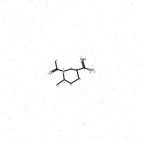 CC(=O)N1CC(C(=N)N)CCC1C